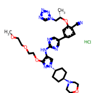 COCCOCCOc1nn([C@H]2CC[C@H](N3CCOCC3)CC2)cc1Nc1ncc(-c2ccc(C#N)c(O[C@@H](C)Cn3cnnn3)c2)cn1.Cl